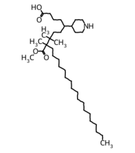 CCCCCCCCCCCCCCCCCCC(C)(C(=O)OC)C(C)(C)CCC(CCCC(=O)O)C1CCNCC1